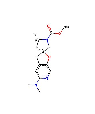 C[C@H]1C[C@]2(Cc3cc(N(C)C)ncc3O2)CN1C(=O)OC(C)(C)C